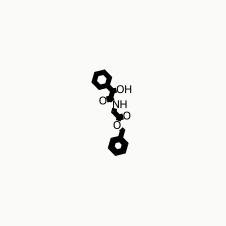 O=C(CNC(=O)C(O)C1CCCCC1)OCc1ccccc1